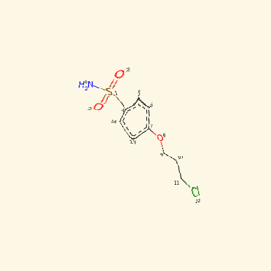 NS(=O)(=O)c1ccc(OCCCCl)cc1